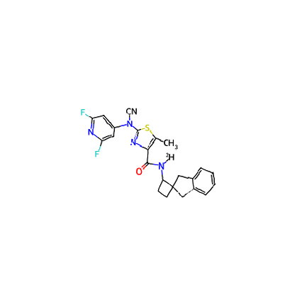 [2H]N(C(=O)c1nc(N(C#N)c2cc(F)nc(F)c2)sc1C)C1CCC12Cc1ccccc1C2